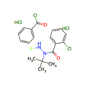 CC(C)(C)N(NF)C(=O)c1ccccc1Cl.Cl.Cl.O=C(Cl)c1ccccc1